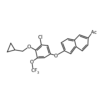 CC(=O)c1ccc2cc(Oc3cc(Cl)c(OCC4CC4)c(OC(F)(F)F)c3)ccc2c1